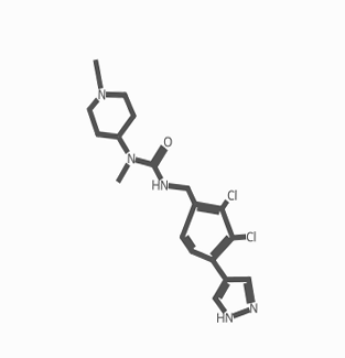 CN1CCC(N(C)C(=O)NCc2ccc(-c3cn[nH]c3)c(Cl)c2Cl)CC1